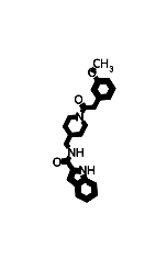 COc1cccc(CC(=O)N2CCC(CNC(=O)c3cc4ccccc4[nH]3)CC2)c1